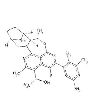 Cc1nc(N)cc(-c2nc3c4c(nc(C)c([C@@H](C)O)c4c2F)N2C[C@H]4CC[C@H](N4)[C@H]2[C@H](C)O3)c1C(F)(F)F